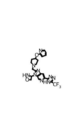 FC(F)(F)c1nnc(-c2cc3nc(CN4CCC(Oc5ccccn5)CC4)n(C4COCN4)c3cn2)[nH]1